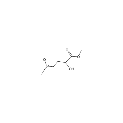 COC(=O)C(O)CC[S+](C)[O-]